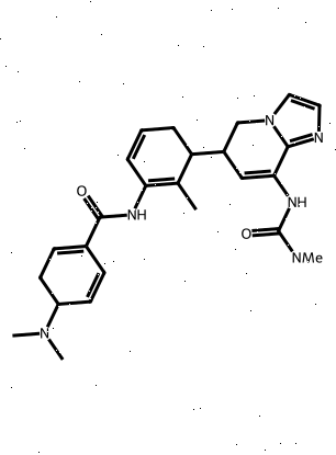 CNC(=O)NC1=CC(C2CC=CC(NC(=O)C3=CCC(N(C)C)C=C3)=C2C)Cn2ccnc21